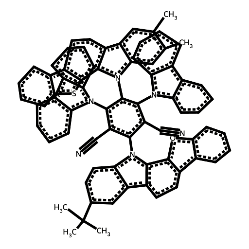 Cc1cc2c3ccc4c5ccccc5sc4c3n(-c3c(-n4c5ccccc5c5ccccc54)c(C#N)c(-n4c5ccc(C(C)(C)C)cc5c5ccc6c7ccccc7oc6c54)c(C#N)c3-n3c4ccccc4c4ccccc43)c2cc1C